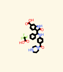 O=C(O)C(F)(F)F.O=C1Nc2cc(C(=O)O)ccc2/C1=C(/Nc1ccc(C(=O)N2CCCNCC2)cc1)c1ccccc1